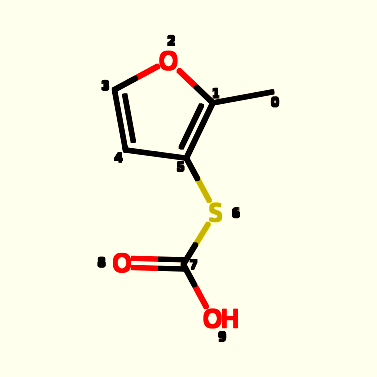 Cc1occc1SC(=O)O